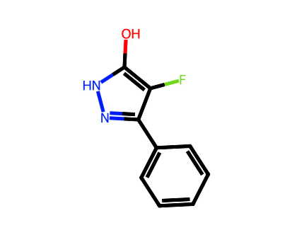 Oc1[nH]nc(-c2ccccc2)c1F